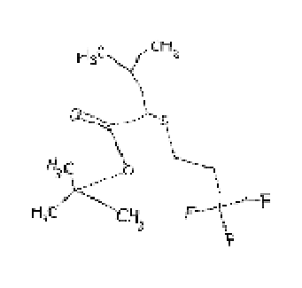 CC(C)C(SCCC(F)(F)F)C(=O)OC(C)(C)C